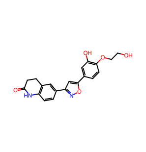 O=C1CCc2cc(-c3cc(-c4ccc(OCCO)c(O)c4)on3)ccc2N1